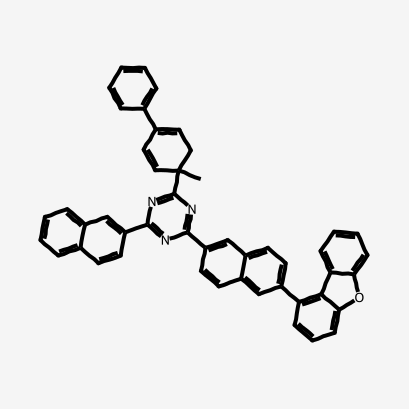 CC1(c2nc(-c3ccc4ccccc4c3)nc(-c3ccc4cc(-c5cccc6oc7ccccc7c56)ccc4c3)n2)C=CC(c2ccccc2)=CC1